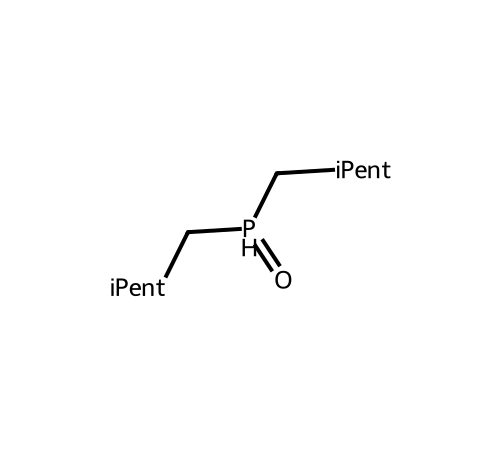 CCCC(C)C[PH](=O)CC(C)CCC